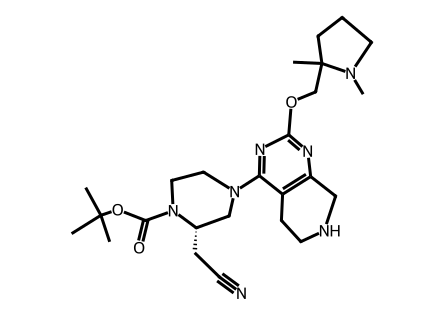 CN1CCCC1(C)COc1nc2c(c(N3CCN(C(=O)OC(C)(C)C)[C@@H](CC#N)C3)n1)CCNC2